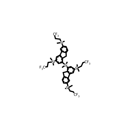 C[Si](C)(CCC(F)(F)F)c1ccc2c(c1)-c1cc([Si](C)(C)CCC(F)(F)F)cc([Si](C)(C)c3cc([Si](C)(C)CCC(F)(F)F)cc4c3Cc3ccc([Si](C)(C)CCC(F)(F)F)cc3-4)c1C2